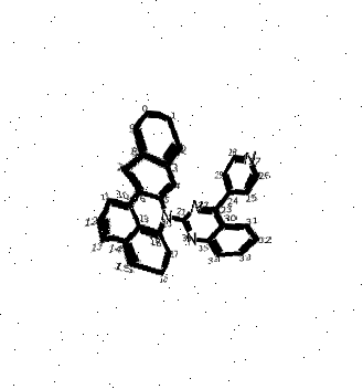 c1ccc2cc3c(cc2c1)-c1cccc2cccc(c12)N3c1nc(-c2ccncc2)c2ccccc2n1